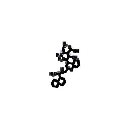 C=C(/C(C)=C(C(=O)O)\C(C)=C/C)[C@@H]1C[C@H](CN[C@H](C)c2cccc3ccccc23)Oc2ccccc21